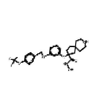 O=C(NO)C1(Oc2cccc(OCc3ccc(OC(F)(F)F)cc3)c2)CCC2(CCNCC2)C1